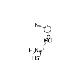 Cl.N#Cc1cccc(OCCCC[C@H](N)CS)c1